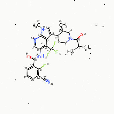 CC(C)C(=O)N1CC[C@@H](c2cn(C)c3ncc(NC(=O)c4cccc(C#N)c4F)c(C(F)(F)F)c23)[C@@H](C)C1